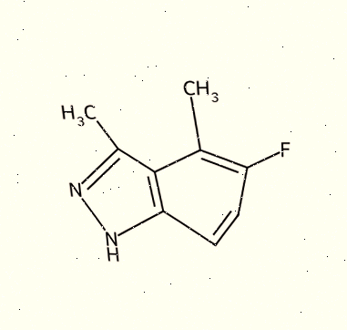 Cc1n[nH]c2ccc(F)c(C)c12